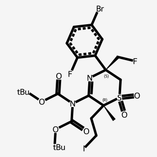 CC(C)(C)OC(=O)N(C(=O)OC(C)(C)C)C1=N[C@](CF)(c2cc(Br)ccc2F)CS(=O)(=O)[C@]1(C)CCI